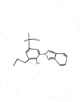 C=CCc1cc(C(C)(C)CCCCC)cc(-n2nc3ccccc3n2)c1O